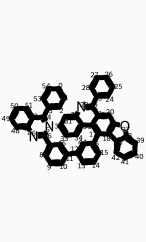 c1ccc(-c2nc(-c3cccc(-c4cccc(-c5c6c(cc7c(-c8ccccc8)nc8ccccc8c57)oc5ccccc56)c4)c3)nc3ccccc23)cc1